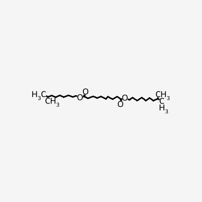 CC(C)CCCCCCCOC(=O)CCCCCCCCC(=O)OCCCCCCCC(C)C